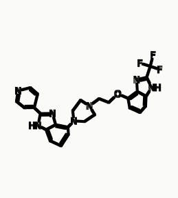 FC(F)(F)c1nc2c(OCCN3CCN(c4cccc5[nH]c(-c6ccncc6)nc45)CC3)cccc2[nH]1